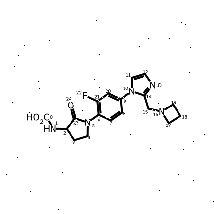 O=C(O)NC1CCN(c2ccc(-n3ccnc3CN3CCC3)cc2F)C1=O